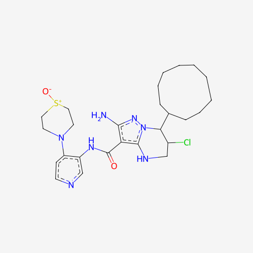 Nc1nn2c(c1C(=O)Nc1cnccc1N1CC[S+]([O-])CC1)NCC(Cl)C2C1CCCCCCCCC1